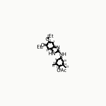 CCOc1cc2nc(Nc3cc(C)c(OC(C)=O)c(C)c3)[nH]c2cc1OCC